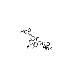 CC1Cc2cc(OCC(=O)NC3CC3)ccc2C(c2c(F)cc(/C=C/C(=O)O)cc2F)N1CC(C)(C)F